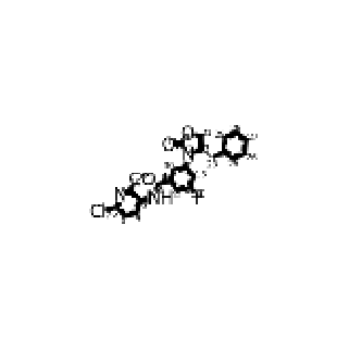 C[C@@H](Nc1ccc(Cl)nc1C(=O)O)c1cc(F)cc(N2C(=O)OC[C@@H]2Cc2ccccc2)c1